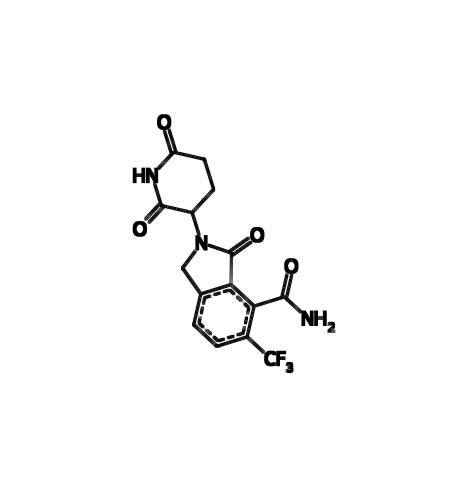 NC(=O)c1c(C(F)(F)F)ccc2c1C(=O)N(C1CCC(=O)NC1=O)C2